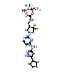 CC(C)(C)OC(=O)NCC1CN(c2nccc(Nc3cc(C4CCCC4)[nH]n3)n2)CC1(F)F